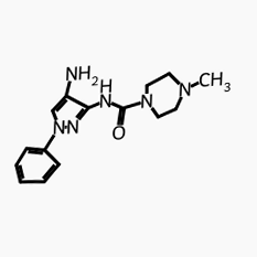 CN1CCN(C(=O)Nc2nn(-c3ccccc3)cc2N)CC1